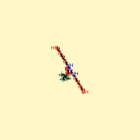 O=C(CN(CC(=O)NCCOCCOCCOCCOO)C(=O)COCC(CC(F)(F)F)(CC(F)(F)F)CC(F)(F)F)NCCOCCOCCOCCOO